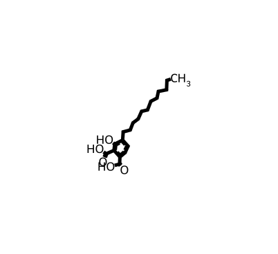 CCCCCCCCCCCCc1ccc(C(=O)O)c(C(=O)O)c1O